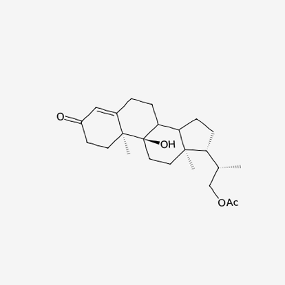 CC(=O)OC[C@@H](C)[C@H]1CCC2C3CCC4=CC(=O)CC[C@]4(C)[C@@]3(O)CC[C@@]21C